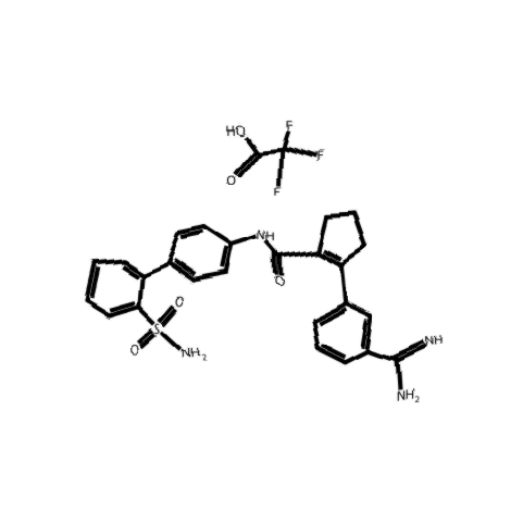 N=C(N)c1cccc(C2=C(C(=O)Nc3ccc(-c4ccccc4S(N)(=O)=O)cc3)CCC2)c1.O=C(O)C(F)(F)F